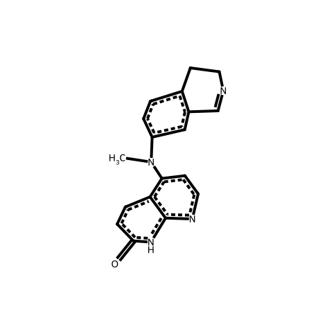 CN(c1ccc2c(c1)C=NCC2)c1ccnc2[nH]c(=O)ccc12